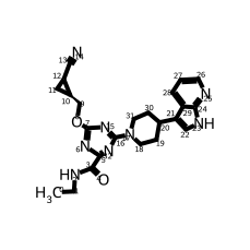 CCNC(=O)c1nc(OC[C@H]2CC2C#N)nc(N2CCC(c3c[nH]c4ncccc34)CC2)n1